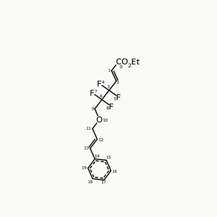 CCOC(=O)C=CC(F)(F)C(F)(F)COCC=Cc1ccccc1